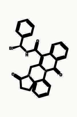 CC[C@H](NC(=O)c1c(CN2CCCC2=O)n(-c2ccccc2)c(=O)c2ccccc12)c1ccccc1